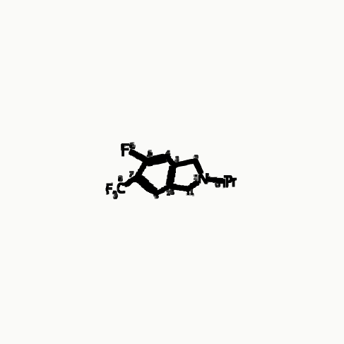 CC(C)N1Cc2cc(F)c(C(F)(F)F)cc2C1